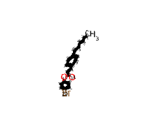 CCCCCCCc1ccc(C=CC(=O)Oc2ccc(Br)cc2)cc1